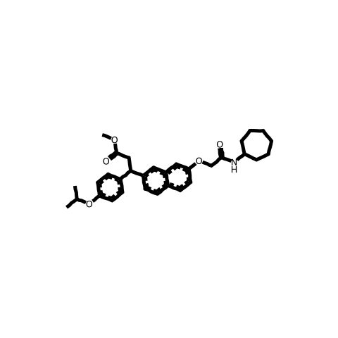 COC(=O)CC(c1ccc(OC(C)C)cc1)c1ccc2ccc(OCC(=O)NC3CCCCCC3)cc2c1